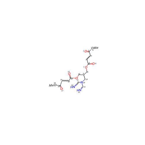 COC(=O)/C=C/C(=O)OCC(COC(=O)/C=C/C(=O)OC)CN(C=N)C=N